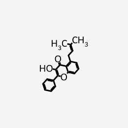 CC(C)=CCc1cccc2oc(-c3ccccc3)c(O)c(=O)c12